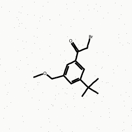 COCc1cc(C(=O)CBr)cc(C(C)(C)C)c1